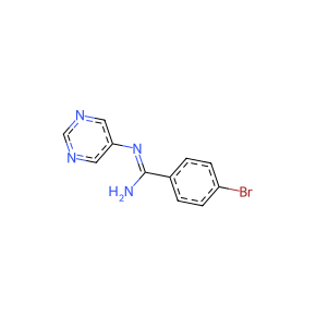 NC(=Nc1cncnc1)c1ccc(Br)cc1